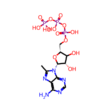 Cc1nc2c(N)ncnc2n1[C@@H]1O[C@H](COP(=O)(O)OP(=O)(O)OP(=O)(O)O)C(O)[C@@H]1O